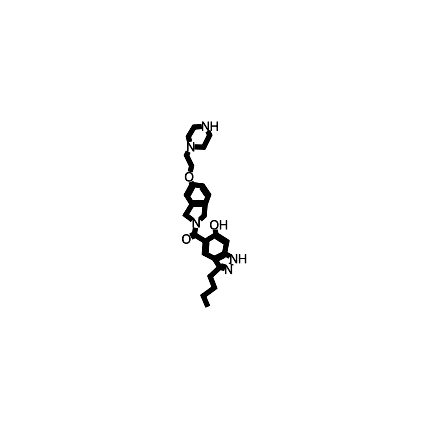 CCCCc1n[nH]c2cc(O)c(C(=O)N3Cc4ccc(OCCN5CCNCC5)cc4C3)cc12